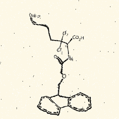 C=CCCC([C@H](NC(=O)OCC1c2ccccc2-c2ccccc21)C(=O)O)(C(F)(F)F)C(F)(F)F